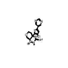 CN1C(=N)NC2(c3sc(-c4cncnc4)cc3Cl)CCOCC2[S+]1[O-]